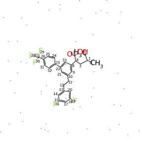 CC(C)CC(C(=O)O)c1cc(CCc2cc(F)cc(F)c2)cc(-c2ccc(C(F)(F)F)cc2)c1